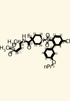 CCCOc1cccc(-c2cc(Cl)ccc2S(=O)(=O)N2CCC(F)(C(=O)N[C@@H](C)/C=C\S(C)(=O)=O)CC2)c1